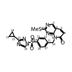 CSc1ncc2ccc(=O)n(Cc3ccc(S(=O)(=O)n4cnc(C5CC5)n4)cc3)c2n1